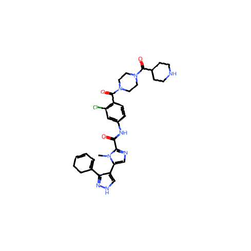 Cn1c(-c2c[nH]nc2C2=CC=CCC2)cnc1C(=O)Nc1ccc(C(=O)N2CCN(C(=O)C3CCNCC3)CC2)c(Cl)c1